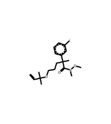 C=CC(C)(C)OCCCC(C)(C(=O)N(C)OC)c1cccc(I)c1